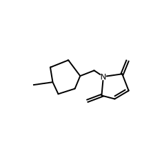 C=c1ccc(=C)n1CC1CCC(C)CC1